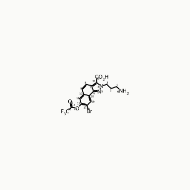 NCCCn1nc2c(ccc3cc(OC(=O)C(F)(F)F)c(Br)cc32)c1C(=O)O